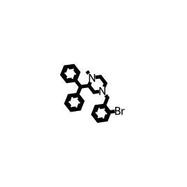 CN1CCN(Cc2ccccc2Br)CC1C(c1ccccc1)c1ccccc1